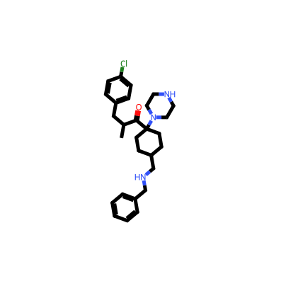 CC(Cc1ccc(Cl)cc1)C(=O)C1(N2CCNCC2)CCC(CNCc2ccccc2)CC1